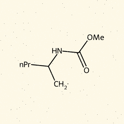 [CH2]C(CCC)NC(=O)OC